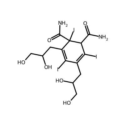 NC(=O)C1C(I)=C(CC(O)CO)C(I)=C(CC(O)CO)C1(I)C(N)=O